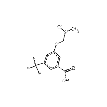 C[S+]([O-])COc1cc(C(=O)O)cc(C(F)(F)F)c1